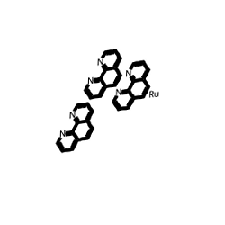 [Ru].c1cnc2c(c1)ccc1cccnc12.c1cnc2c(c1)ccc1cccnc12.c1cnc2c(c1)ccc1cccnc12